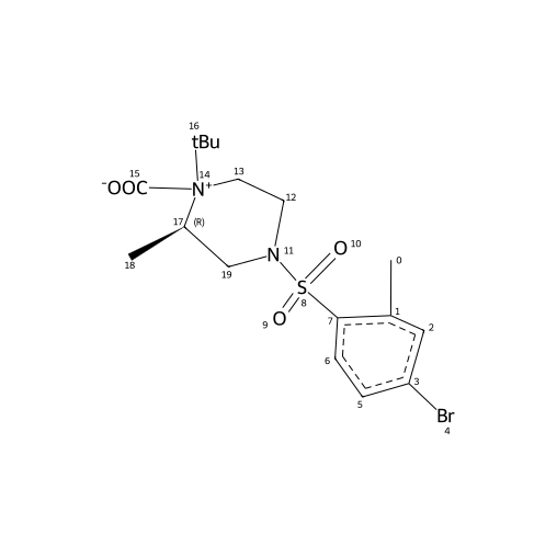 Cc1cc(Br)ccc1S(=O)(=O)N1CC[N+](C(=O)[O-])(C(C)(C)C)[C@H](C)C1